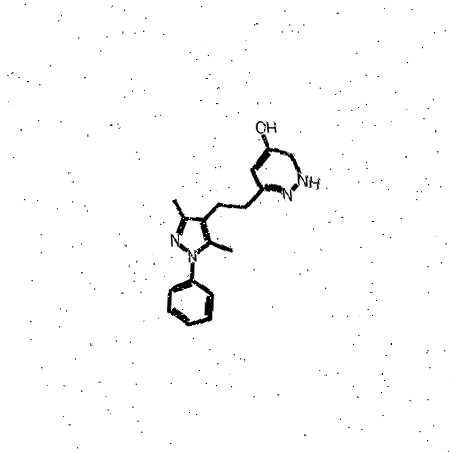 Cc1nn(-c2ccccc2)c(C)c1CCC1=NNCC(O)=C1